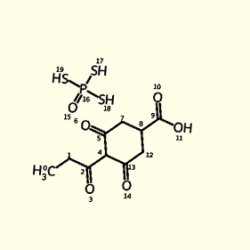 CCC(=O)C1C(=O)CC(C(=O)O)CC1=O.O=P(S)(S)S